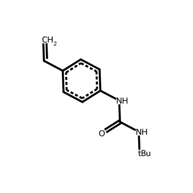 C=Cc1ccc(NC(=O)NC(C)(C)C)cc1